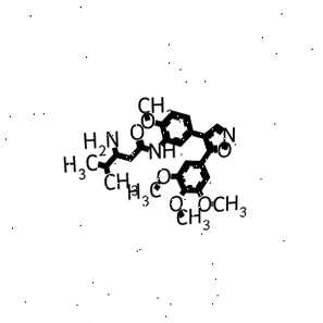 COc1ccc(-c2cnoc2-c2cc(OC)c(OC)c(OC)c2)cc1NC(=O)CC(N)C(C)C